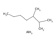 [AlH3].[CH2]C(C)C(C)CCCC